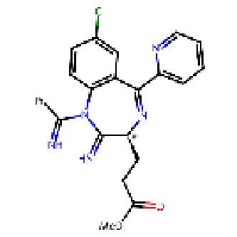 COC(=O)CC[C@@H]1N=C(c2ccccn2)c2cc(Cl)ccc2N(C(=N)C(C)C)C1=N